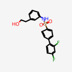 O=S(=O)(Nc1cccc(CCO)c1)c1ccc(-c2ccc(F)cc2F)cc1